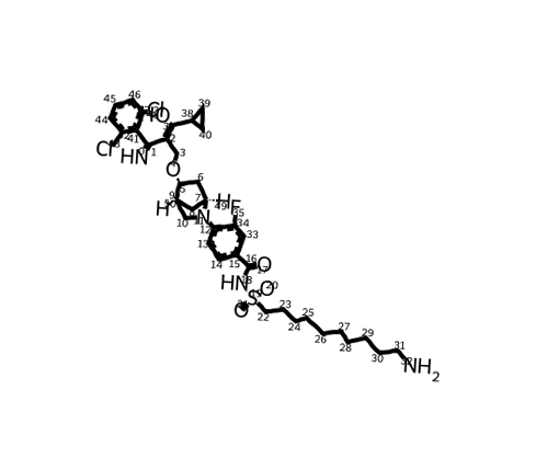 N=C(/C(CO[C@@H]1C[C@@H]2C[C@H]1CN2c1ccc(C(=O)NS(=O)(=O)CCCCCCCCCCN)cc1F)=C(\O)C1CC1)c1c(Cl)cccc1Cl